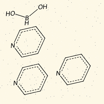 OBO.c1ccncc1.c1ccncc1.c1ccncc1